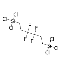 FC(F)(CC[Si](Cl)(Cl)Cl)C(F)(F)CC[Si](Cl)(Cl)Cl